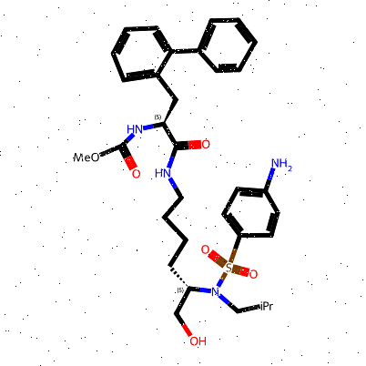 COC(=O)N[C@@H](Cc1ccccc1-c1ccccc1)C(=O)NCCCC[C@@H](CO)N(CC(C)C)S(=O)(=O)c1ccc(N)cc1